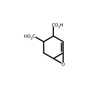 O=C(O)C1C=C2OC2CC1C(=O)O